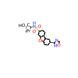 CC(C)[C@H](NS(=O)(=O)c1ccc2c(c1)oc1ccc(-c3ncon3)cc12)C(=O)O